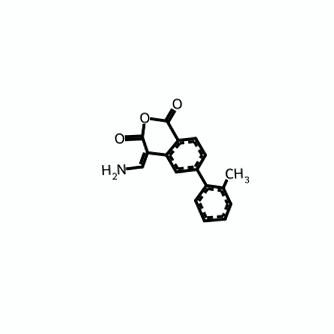 Cc1ccccc1-c1ccc2c(c1)C(=CN)C(=O)OC2=O